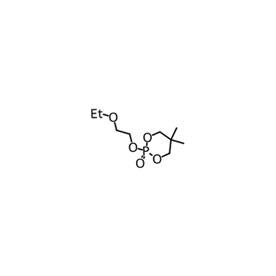 CCOCCOP1(=O)OCC(C)(C)CO1